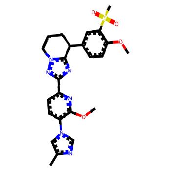 COc1ccc(C2CCCn3nc(-c4ccc(-n5cnc(C)c5)c(OC)n4)nc32)cc1S(C)(=O)=O